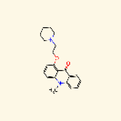 Cn1c2ccccc2c(=O)c2c(OCCN3CCCCC3)cccc21